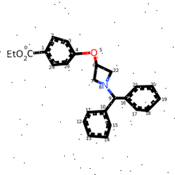 CCOC(=O)c1ccc(OC2CN(C(c3ccccc3)c3ccccc3)C2)cc1